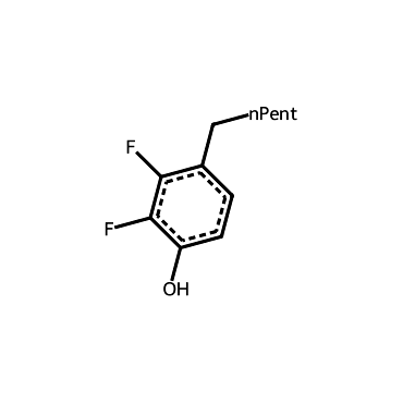 CCCCCCc1ccc(O)c(F)c1F